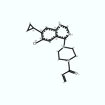 C=CC(=O)N1CCN(c2ncnc3cc(C4CC4)c(Cl)cc23)CC1